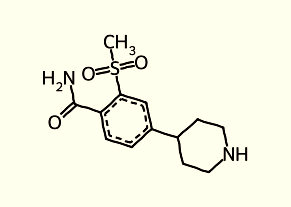 CS(=O)(=O)c1cc(C2CCNCC2)ccc1C(N)=O